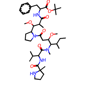 CCC(C)C(C(CC(=O)N1CCCC1C(OC)C(C)C(=O)NC(Cc1ccccc1)C(=O)OC(C)(C)C)OC)N(C)C(=O)C(NC(=O)C1(C)CCCN1)C(C)C